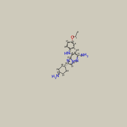 CCOc1ccc(Nc2c(C)c(N)nn3cc([C@H]4CC[C@H](N)CC4)nc23)cc1